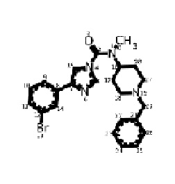 CN(C(=O)n1cnc(-c2cccc(Br)c2)c1)C1CCN(Cc2ccccc2)CC1